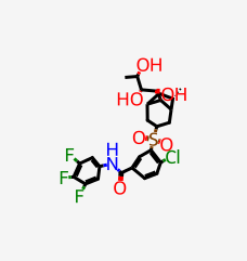 CC(O)C(O)C[C@@]1(O)C2CC(S(=O)(=O)c3cc(C(=O)Nc4cc(F)c(F)c(F)c4)ccc3Cl)CC1[C@@H](C)C2